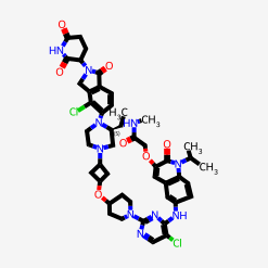 CC[C@H]1CN(C2CC(OC3CCN(c4ncc(Cl)c(Nc5ccc6c(c5)cc(OCC(=O)NC)c(=O)n6C(C)C)n4)CC3)C2)CCN1c1ccc2c(c1Cl)CN(C1CCC(=O)NC1=O)C2=O